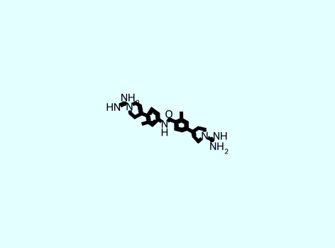 Cc1cc(C2=CCN(C(=N)N)CC2)ccc1C(=O)Nc1ccc(C2=CCN(C(=N)N)CC2)c(C)c1